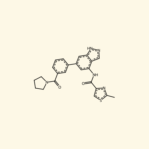 Cc1nc(C(=O)Nc2cc(-c3cccc(C(=O)N4CCCC4)c3)cc3[nH]ncc23)cs1